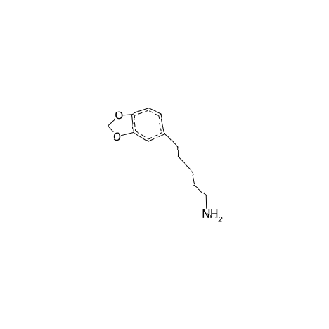 NCCCCCc1ccc2c(c1)OCO2